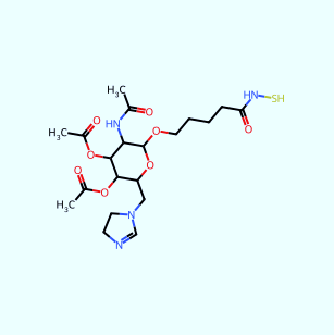 CC(=O)NC1C(OCCCCC(=O)NS)OC(CN2C=NCC2)C(OC(C)=O)C1OC(C)=O